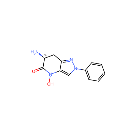 N[C@H]1Cc2nn(-c3ccccc3)cc2N(O)C1=O